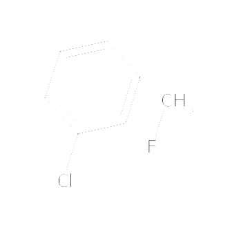 CF.Clc1ccccc1